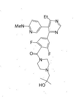 CCc1ncnc(-c2cc(F)c(C(=O)N3CCN(CC(C)(C)O)CC3)c(F)c2)c1-c1ccc(NC)nc1